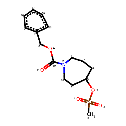 CS(=O)(=O)OC1CCCN(C(=O)OCc2ccccc2)CC1